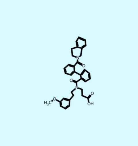 COc1cccc(CCN(CCC(=O)O)C(=O)c2ccccc2-c2ccccc2C(=O)N2CCc3ccccc3C2)c1